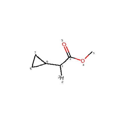 [2H]C(C(=O)OC)C1CC1